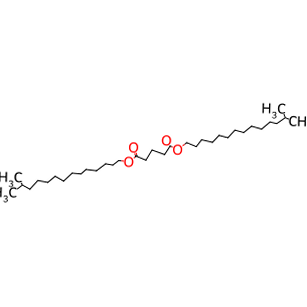 CC(C)CCCCCCCCCCCCOC(=O)CCCC(=O)OCCCCCCCCCCCCC(C)C